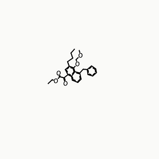 CCCCc1cc(C(=O)C(=O)OCC)c2cccc(Cc3ccccc3)c2c1OCOC